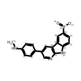 CNc1ccc(-c2cnc3[nH]c4ccc([N+](=O)[O-])cc4c3c2)cc1